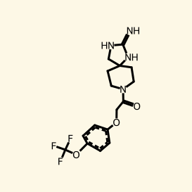 N=C1NCC2(CCN(C(=O)COc3ccc(OC(F)(F)F)cc3)CC2)N1